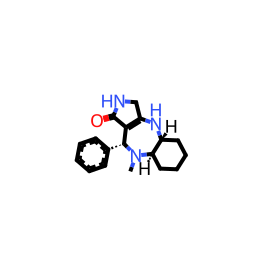 CN1[C@@H]2CCCC[C@H]2NC2=C(C(=O)NC2)[C@H]1c1ccccc1